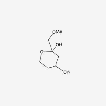 COCC1(O)CC(O)CCO1